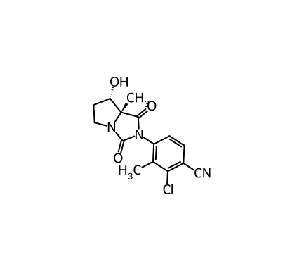 Cc1c(N2C(=O)N3CC[C@H](O)[C@]3(C)C2=O)ccc(C#N)c1Cl